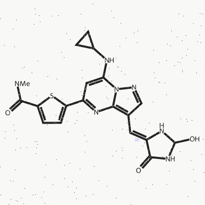 CNC(=O)c1ccc(-c2cc(NC3CC3)n3ncc(/C=C4\NC(O)NC4=O)c3n2)s1